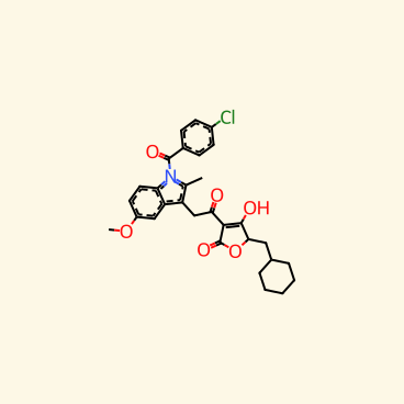 COc1ccc2c(c1)c(CC(=O)C1=C(O)C(CC3CCCCC3)OC1=O)c(C)n2C(=O)c1ccc(Cl)cc1